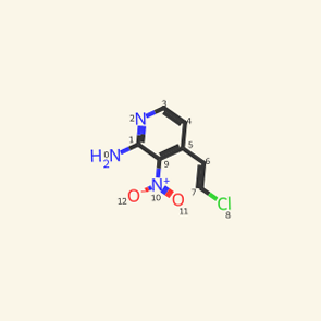 Nc1nccc(C=CCl)c1[N+](=O)[O-]